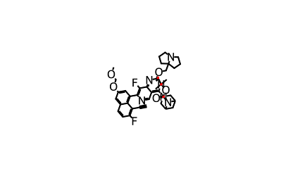 C#Cc1c(F)ccc2cc(OCOC)cc(-c3ncc4c(N5CC6CC(C5)N6C(=O)OC(C)(C)C)nc(OCC56CCCN5CCC6)nc4c3F)c12